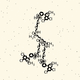 CN1Cc2c(Cl)cc(Cl)cc2[C@H](c2cccc(S(=O)(=O)NCCOCCOCCNC(=O)N(C)CCCN(CCCN(C)C(=O)NCCOCCOCCNS(=O)(=O)c3cccc([C@@H]4CN(C)Cc5c(Cl)cc(Cl)cc54)c3)C(=O)NCCOCCOCCNS(=O)(=O)c3cccc([C@@H]4CN(C)Cc5c(Cl)cc(Cl)cc54)c3)c2)C1